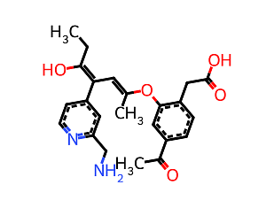 CC/C(O)=C(\C=C(/C)Oc1cc(C(C)=O)ccc1CC(=O)O)c1ccnc(CN)c1